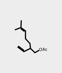 C=CC(CCC=C(C)C)COC(C)=O